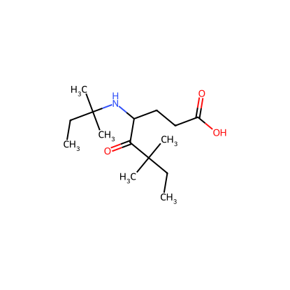 CCC(C)(C)NC(CCC(=O)O)C(=O)C(C)(C)CC